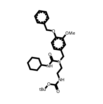 COc1cc(CN(CCNC(=O)OC(C)(C)C)C(=O)NC2CCCCC2)ccc1OCc1ccccc1